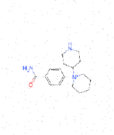 NC(=O)c1ccc([N+]2(C3CCNCC3)CCCCC2)cc1